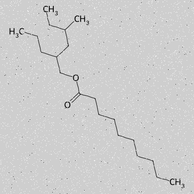 CCCCCCCCCC(=O)OCC(CCC)CC(C)CC